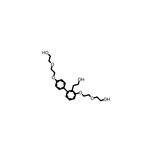 OCCOCCOc1ccc(-c2[c]ccc(OCCOCCO)c2CCO)cc1